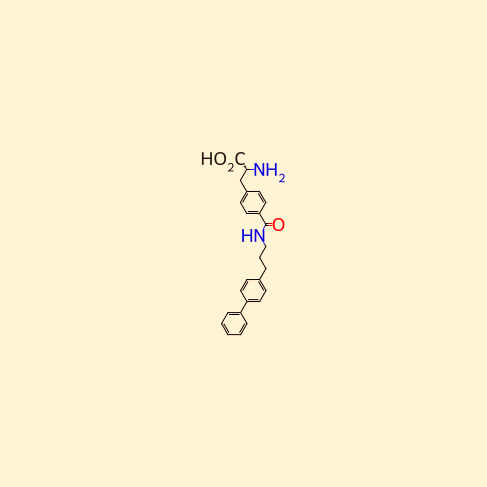 N[C@@H](Cc1ccc(C(=O)NCCCc2ccc(-c3ccccc3)cc2)cc1)C(=O)O